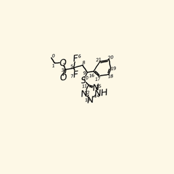 CCOC(=O)C(F)(F)CC(Sc1nn[nH]n1)c1ccccc1